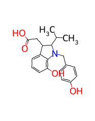 CC(C)C1C(CC(=O)O)c2cccc(O)c2N1Cc1ccc(O)cc1